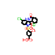 COc1cc(C(=O)O)ccc1S(=O)(=O)N1C(=O)C(NC(C)=O)(c2ccccc2Cl)c2cc(Cl)ccc21